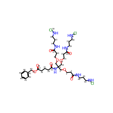 O=C(CCOCC(COCCC(=O)NCCCNCl)(COCCC(=O)NCCCNCl)NC(=O)CCCC(=O)OCc1ccccc1)NCCCNCl